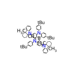 CC(C)(C)c1ccc(N2c3ccc(N4c5ccccc5C5(C)CCCCC45C)cc3B3c4cc(C(C)(C)C)ccc4N(c4ccc(C(C)(C)C)cc4)c4cc(N5c6ccccc6C6(C)CCCCC56C)cc2c43)cc1